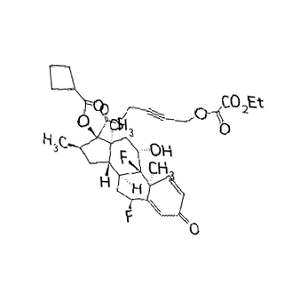 CCOC(=O)C(=O)OCC#CCSC(=O)[C@@]1(OC(=O)C2CCC2)[C@H](C)C[C@H]2[C@@H]3C[C@H](F)C4=CC(=O)C=C[C@]4(C)[C@@]3(F)[C@@H](O)C[C@@]21C